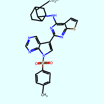 Cc1ccc(S(=O)(=O)n2cc(-c3nc(NC4C5CCC(CC5)C4C(=O)O)c4ccsc4n3)c3cncnc32)cc1